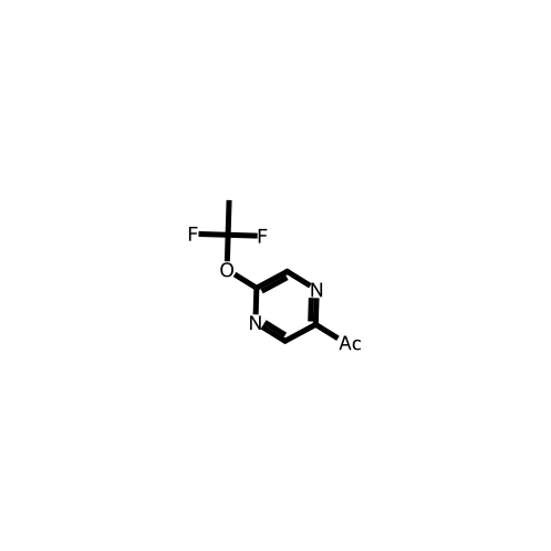 CC(=O)c1cnc(OC(C)(F)F)cn1